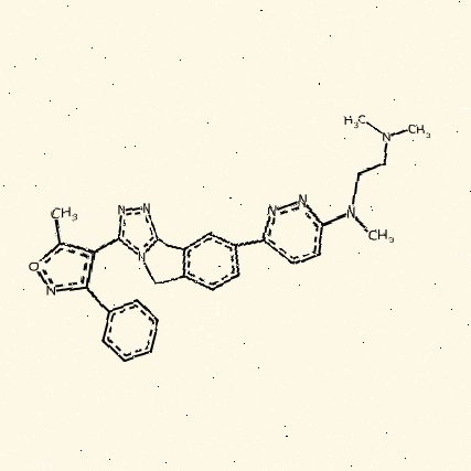 Cc1onc(-c2ccccc2)c1-c1nnc2n1Cc1ccc(-c3ccc(N(C)CCN(C)C)nn3)cc1-2